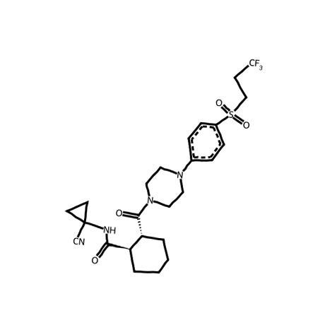 N#CC1(NC(=O)[C@@H]2CCCC[C@H]2C(=O)N2CCN(c3ccc(S(=O)(=O)CCC(F)(F)F)cc3)CC2)CC1